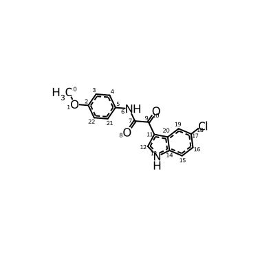 COc1ccc(NC(=O)C(=O)c2c[nH]c3ccc(Cl)cc23)cc1